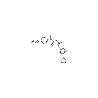 COc1ccc(NC(=O)CN(C)Cc2coc(-c3cccs3)n2)cc1